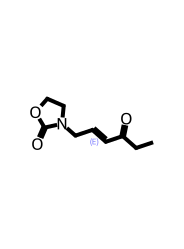 CCC(=O)/C=C/CN1CCOC1=O